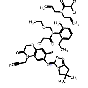 C#CCN1C(=O)COc2cc(F)c(/N=c3\snc4n3CC(C)(C)C4)cc21.C=CCN(CC=C)C(=O)C(Cl)Cl.CCOCN(C(=O)CCl)c1c(C)cccc1CC